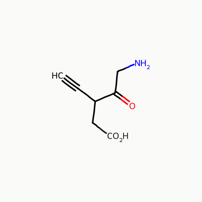 C#CC(CC(=O)O)C(=O)CN